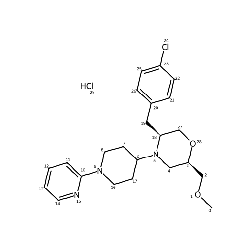 COC[C@H]1CN(C2CCN(c3ccccn3)CC2)[C@@H](Cc2ccc(Cl)cc2)CO1.Cl